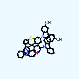 N#Cc1ccc2c(c1)c1cc(C#N)ccc1n2-c1ccc2c(c1)Sc1cccc(-n3c4ccccc4c4ccccc43)c1C21c2cccnc2-c2ncc(-n3c4ccccc4c4ccccc43)cc21